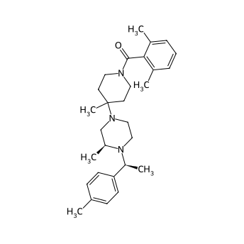 Cc1ccc([C@H](C)N2CCN(C3(C)CCN(C(=O)c4c(C)cccc4C)CC3)C[C@@H]2C)cc1